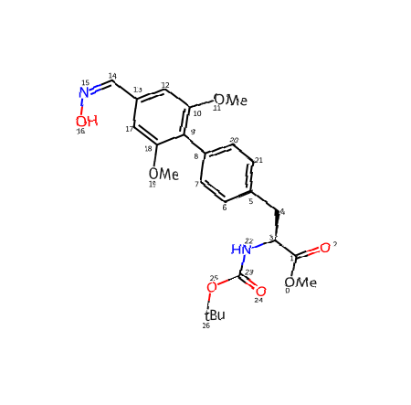 COC(=O)[C@H](Cc1ccc(-c2c(OC)cc(/C=N\O)cc2OC)cc1)NC(=O)OC(C)(C)C